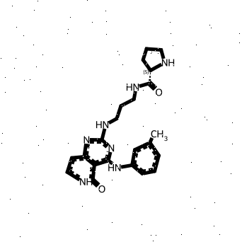 Cc1cccc(Nc2nc(NCCCNC(=O)[C@@H]3CCCN3)nc3cc[nH]c(=O)c23)c1